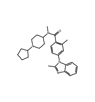 Cc1cc(-n2c(C)nc3ccccc32)ccc1C(=O)N(C)C1CCN(C2CCCC2)CC1